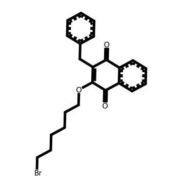 O=C1C(Cc2ccccc2)=C(OCCCCCCBr)C(=O)c2ccccc21